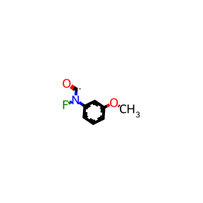 COc1cccc(N(F)[C]=O)c1